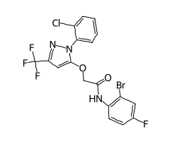 O=C(COc1cc(C(F)(F)F)nn1-c1ccccc1Cl)Nc1ccc(F)cc1Br